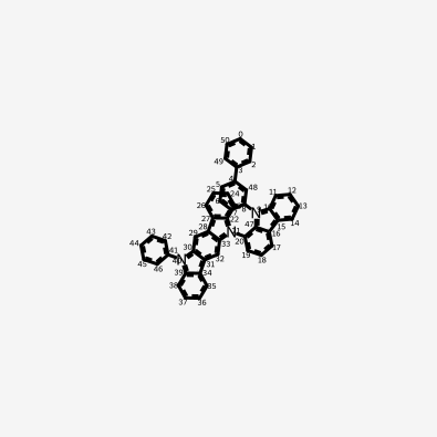 c1ccc(-c2cccc(-n3c4ccccc4c4cccc(-n5c6ccccc6c6cc7c(cc65)c5ccccc5n7-c5ccccc5)c43)c2)cc1